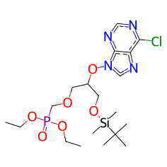 CCOP(=O)(COCC(CO[Si](C)(C)C(C)(C)C)On1cnc2c(Cl)ncnc21)OCC